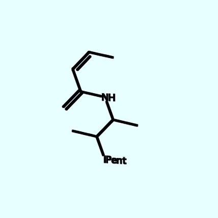 C=C(/C=C\C)NC(C)C(C)C(C)CCC